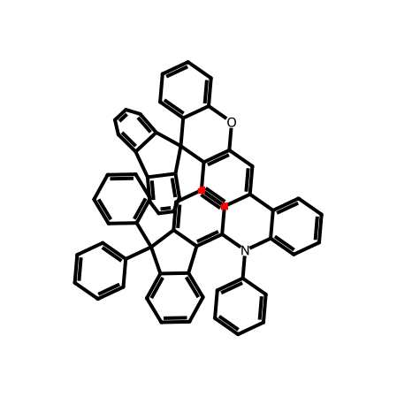 c1ccc(N(c2ccccc2-c2ccc3c(c2)Oc2ccccc2C32c3ccccc3-c3ccccc32)c2cccc3c2-c2ccccc2C3(c2ccccc2)c2ccccc2)cc1